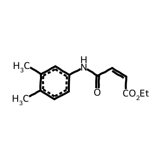 CCOC(=O)/C=C\C(=O)Nc1ccc(C)c(C)c1